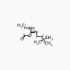 CCN/C(=N/CC[N+](C)(C)C)OC=O